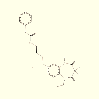 CCN1C(=O)C(C)(C)C(=O)N(C)c2cc(OCCCNC(=O)Cc3cccnc3)ccc21.Cl